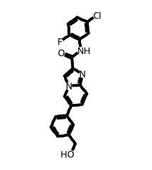 O=C(Nc1cc(Cl)ccc1F)c1cn2cc(-c3cccc(CO)c3)ccc2n1